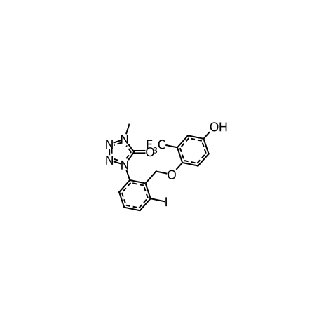 Cn1nnn(-c2cccc(I)c2COc2ccc(O)cc2C(F)(F)F)c1=O